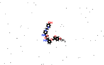 COc1ccc2c(COc3cccc4[nH]c(OC(=O)NC5CCN(CCN6CCC(O)CC6)CC5)cc34)coc2c1